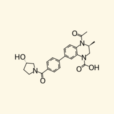 CC(=O)N1c2ccc(-c3ccc(C(=O)N4CC[C@H](O)C4)cc3)cc2N(C(=O)O)C[C@@H]1C